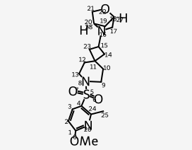 COc1ccc(S(=O)(=O)N2CCC3(CC2)CC(N2C[C@H]4C[C@@H]2CO4)C3)c(C)n1